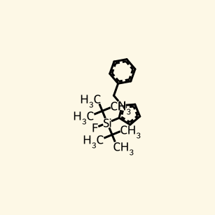 CC(C)(C)[Si](F)(c1cccn1Cc1ccccc1)C(C)(C)C